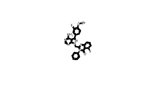 CC(C)Oc1ccc(-c2nn(Cc3nc4cccc(F)c4c(=O)n3-c3ccccc3)c3ncnc(N)c23)cc1F